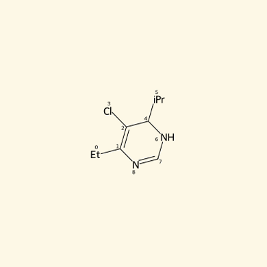 CCC1=C(Cl)C(C(C)C)NC=N1